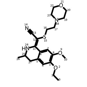 CCOc1cc2c(cc1OC)C(=C(C#N)SCCN1CCOCC1)NC(C)C2